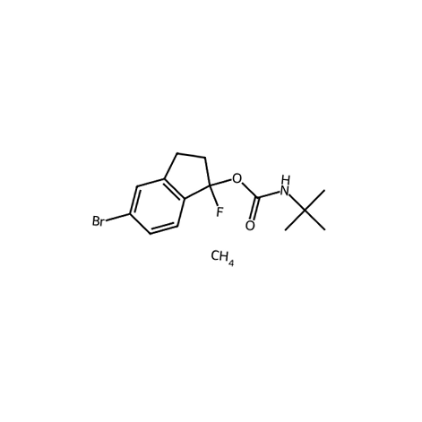 C.CC(C)(C)NC(=O)OC1(F)CCc2cc(Br)ccc21